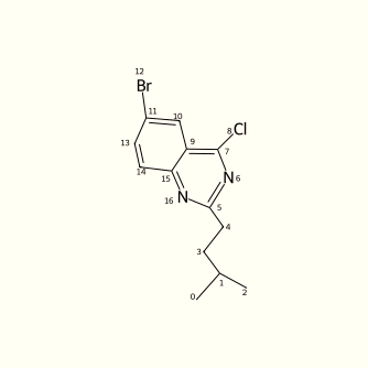 CC(C)CCc1nc(Cl)c2cc(Br)ccc2n1